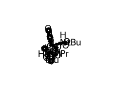 CC(C)C[C@@H](NC(=O)[C@@H](Cc1ccccc1)NC(=O)[C@@H](Cc1ccccc1)NC(=O)OC(C)(C)C)C(=O)N[C@H](CCCCNC(=O)OC(C)(C)C)C(=O)N1CC2(CCN(C3CCOCC3)CC2)C1